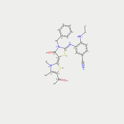 CCNc1ccc(C#N)cc1N=C1SC(=C2SC(C(C)=O)=C(C)N2C)C(=O)N1Cc1ccccc1